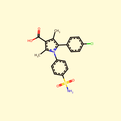 Cc1c(C(=O)O)c(C)n(-c2ccc(S(N)(=O)=O)cc2)c1-c1ccc(Cl)cc1